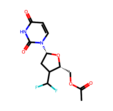 CC(=O)OC[C@H]1O[C@@H](n2ccc(=O)[nH]c2=O)CC1C(F)F